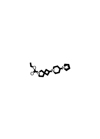 CCOC(=O)N1CCC2(CC(N3CCC(n4cccc4)CC3)C2)C1